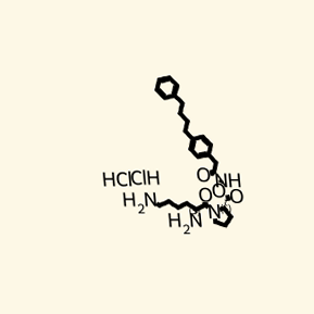 Cl.Cl.NCCCC[C@H](N)C(=O)N1CCC[C@H]1C(=O)ONC(=O)Cc1ccc(CCCCc2ccccc2)cc1